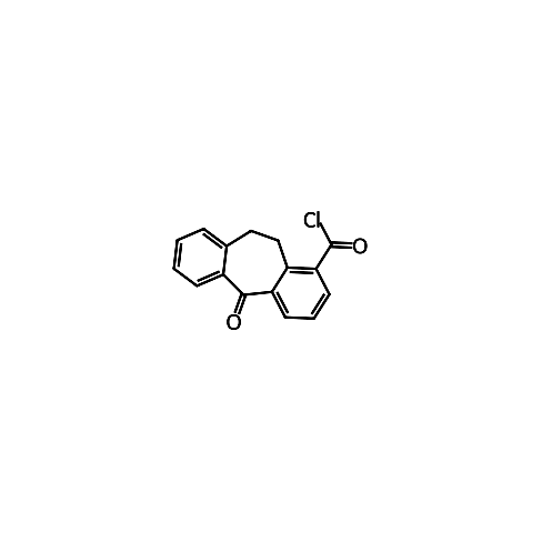 O=C(Cl)c1cccc2c1CCc1ccccc1C2=O